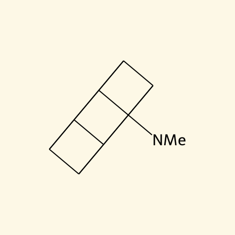 CNC12C3C4C5C3C1C5C42